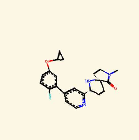 CN1CC[C@@]2(CC[C@H](c3cc(-c4cc(OC5CC5)ccc4F)ccn3)N2)C1=O